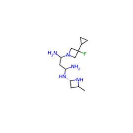 CC1C[C@H](NC(N)CC(N)N2CC(F)(C3CC3)C2)N1